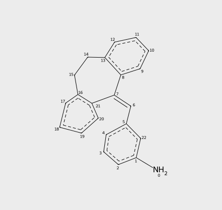 Nc1cccc(C=C2c3ccccc3CCc3ccccc32)c1